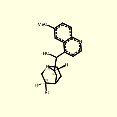 CC[C@H]1C[N@@]2CCC1C[C@H]2C(O)c1ccnc2ccc(OC)cc12